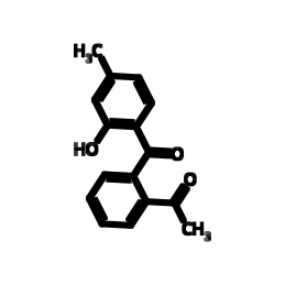 CC(=O)c1ccccc1C(=O)c1ccc(C)cc1O